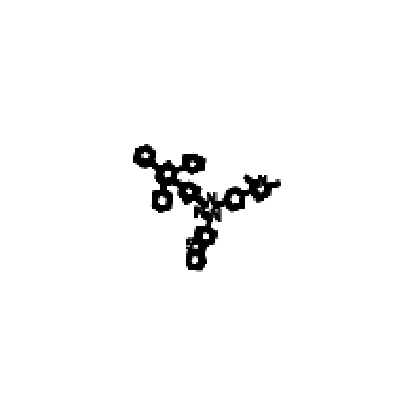 Cc1ccc(-c2ccc(-c3nc(-c4ccc(-c5c(-c6ccccc6)cc(-c6ccccc6)cc5-c5ccccc5)cc4)nc(-c4ccc5c(c4)sc4ccccc45)n3)cc2)c(C)n1